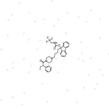 CCC(C(=O)N1CCN(CCCCC2(OC(=O)NCC(F)(F)F)c3ccccc3-c3ccccc32)CC1)c1ccccc1